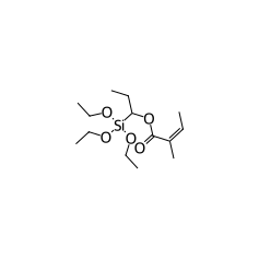 CC=C(C)C(=O)OC(CC)[Si](OCC)(OCC)OCC